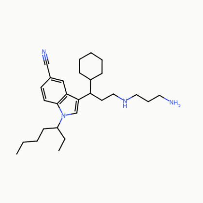 CCCCC(CC)n1cc(C(CCNCCCN)C2CCCCC2)c2cc(C#N)ccc21